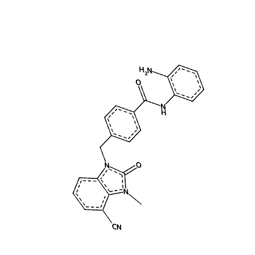 Cn1c(=O)n(Cc2ccc(C(=O)Nc3ccccc3N)cc2)c2cccc(C#N)c21